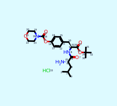 CC(C)C[C@H](N)C(=O)N[C@@H](Cc1ccc(OC(=O)N2CCOCC2)cc1)C(=O)OC(C)(C)C.Cl